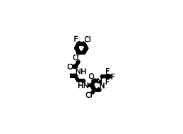 C=C(CCNc1c(Cl)cnn(CC(F)(F)F)c1=O)NC(=O)COc1ccc(Cl)c(F)c1